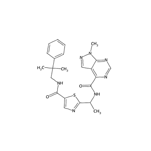 CC(NC(=O)c1ncnc2c1cnn2C)c1ncc(C(=O)NCC(C)(C)c2ccccc2)s1